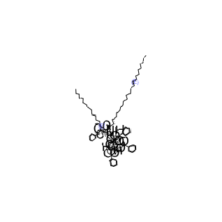 CCCCCCCC/C=C/CCCCCCCCCCCCCC(=O)N[C@@H](CO[C@@H]1O[C@@H]2COC(c3ccccc3)O[C@H]2[C@H](OC(=O)c2ccccc2)[C@H]1OC(=O)c1ccccc1)[C@@H](/C=C/CCCCCCCCCCCCC)OC(=O)c1ccccc1